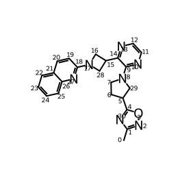 Cc1noc(C2CCN(c3nccnc3C3CN(c4ccc5ccccc5n4)C3)C2)n1